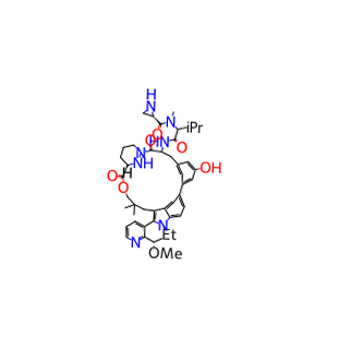 CCn1c(-c2cccnc2[C@H](C)OC)c2c3cc(ccc31)-c1cc(O)cc(c1)C[C@H](NC(=O)C(C(C)C)N(C)C(=O)[C@H]1CN1)C(=O)N1CCC[C@H](N1)C(=O)OCC(C)(C)C2